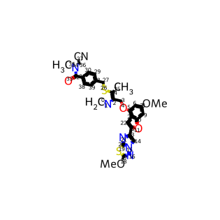 C=N/C(COc1cc(OC)cc2oc(-c3cn4nc(OC)sc4n3)cc12)=C(/C)SCc1ccc(C(=O)N(C)CC#N)cc1